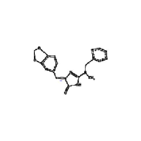 CN(Cc1ccccc1)C1=N/C(=C\c2ccc3c(c2)OCO3)C(=O)N1